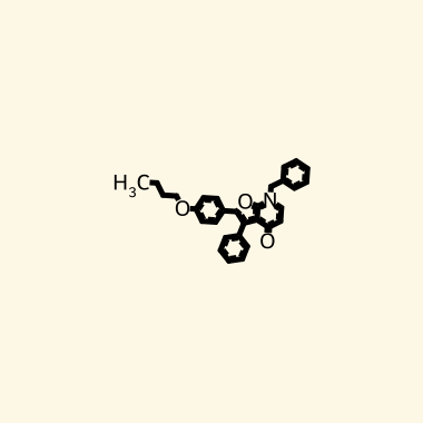 CCCCOc1ccc(-c2oc3c(c2-c2ccccc2)c(=O)ccn3Cc2ccccc2)cc1